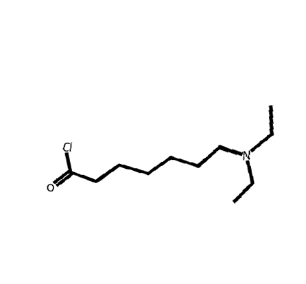 CCN(CC)CCCCCCC(=O)Cl